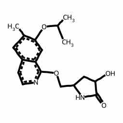 Cc1cc2ccnc(OCC3CC(O)C(=O)N3)c2cc1OC(C)C